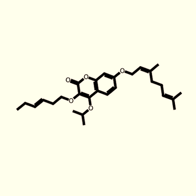 CCC=CCCOc1c(OC(C)C)c2ccc(OCC=C(C)CCC=C(C)C)cc2oc1=O